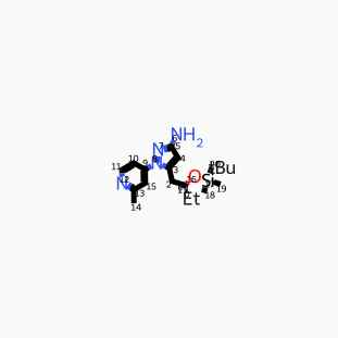 CC[C@H](Cc1cc(N)nn1-c1ccnc(C)c1)O[Si](C)(C)C(C)(C)C